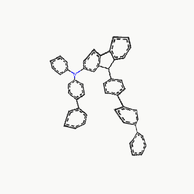 c1ccc(-c2ccc(-c3ccc(C4c5ccccc5-c5ccc(N(c6ccccc6)c6ccc(-c7ccccc7)cc6)cc54)cc3)cc2)cc1